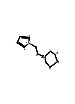 c1ccn(CCN2CCCCC2)c1